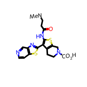 CNCCC(=O)Nc1sc2c(c1-c1nc3cnccc3s1)CCN(C(=O)O)C2